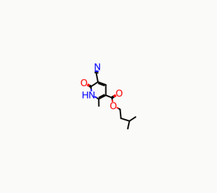 Cc1[nH]c(=O)c(C#N)cc1C(=O)OCCC(C)C